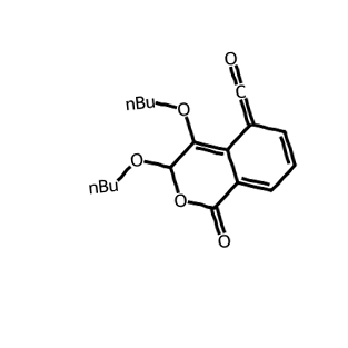 CCCCOC1=c2c(cccc2=C=O)C(=O)OC1OCCCC